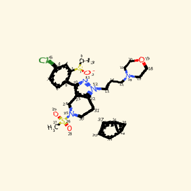 C[S+]([O-])c1cc(Cl)ccc1-c1nn(CCCN2CCOCC2)c2c1CN(S(C)(=O)=O)CC2.c1cc2cc-2c1